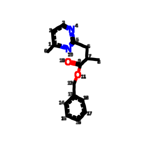 Cc1ccnc(CC(C)C(=O)OCc2ccccc2)n1